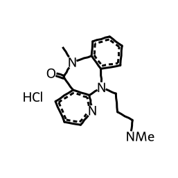 CNCCCN1c2ccccc2N(C)C(=O)c2cccnc21.Cl